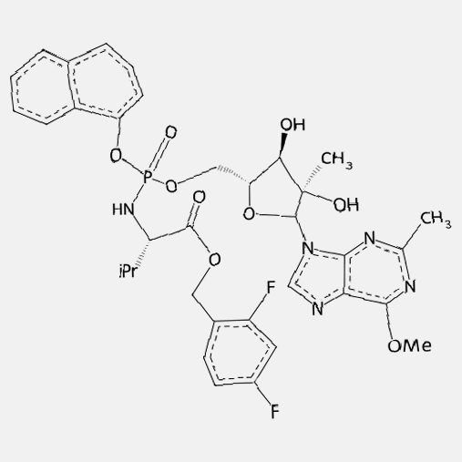 COc1nc(C)nc2c1ncn2C1O[C@H](COP(=O)(N[C@H](C(=O)OCc2ccc(F)cc2F)C(C)C)Oc2cccc3ccccc23)[C@@H](O)[C@@]1(C)O